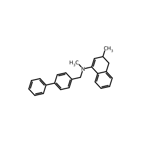 CC1C=C(N(C)Cc2ccc(-c3ccccc3)cc2)c2ccccc2C1